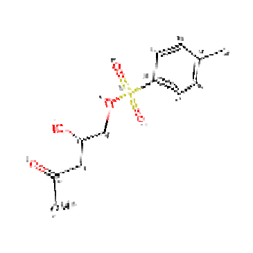 COC(=O)C[C@H](O)COS(=O)(=O)c1ccc(C)cc1